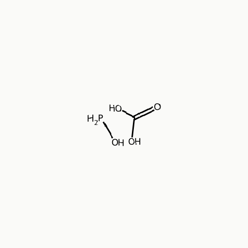 O=C(O)O.OP